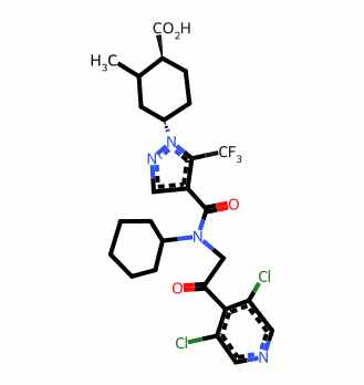 CC1C[C@@H](n2ncc(C(=O)N(CC(=O)c3c(Cl)cncc3Cl)C3CCCCC3)c2C(F)(F)F)CC[C@@H]1C(=O)O